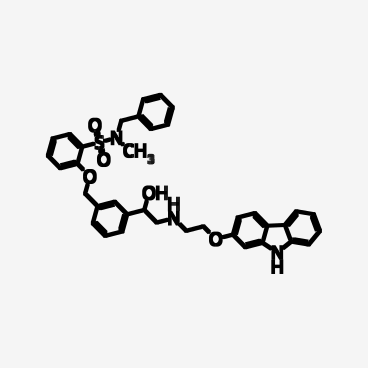 CN(Cc1ccccc1)S(=O)(=O)c1ccccc1OCc1cccc(C(O)CNCCOc2ccc3c(c2)[nH]c2ccccc23)c1